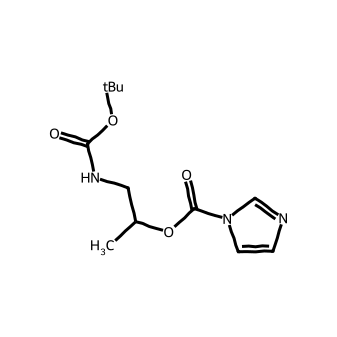 CC(CNC(=O)OC(C)(C)C)OC(=O)n1ccnc1